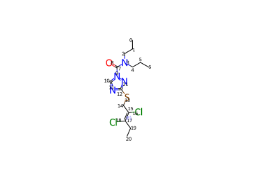 CCCN(CCC)C(=O)n1cnc(SC/C(Cl)=C(\Cl)CC)n1